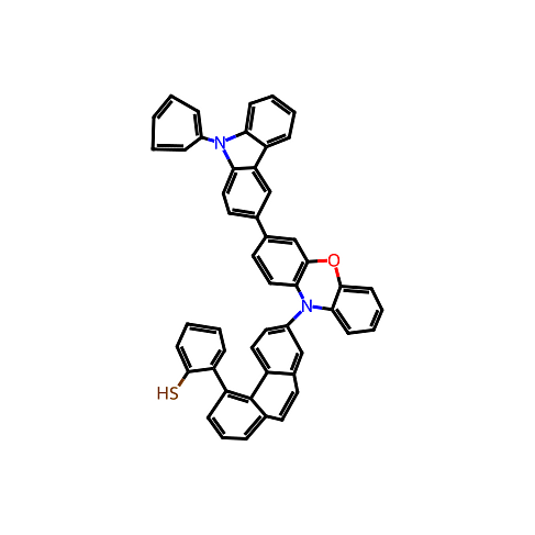 Sc1ccccc1-c1cccc2ccc3cc(N4c5ccccc5Oc5cc(-c6ccc7c(c6)c6ccccc6n7-c6ccccc6)ccc54)ccc3c12